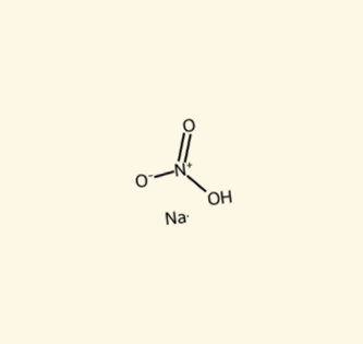 O=[N+]([O-])O.[Na]